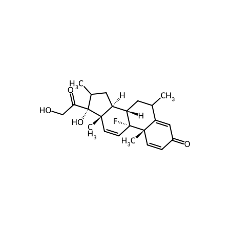 CC1C[C@H]2[C@@H]3CC(C)[C@](O)(C(=O)CO)[C@@]3(C)C=C[C@]2(F)[C@@]2(C)C=CC(=O)C=C12